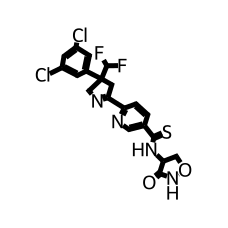 O=C1NOCC1NC(=S)c1ccc(C2=NCC(c3cc(Cl)cc(Cl)c3)(C(F)F)C2)nc1